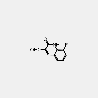 O=Cc1cc2cccc(F)c2[nH]c1=O